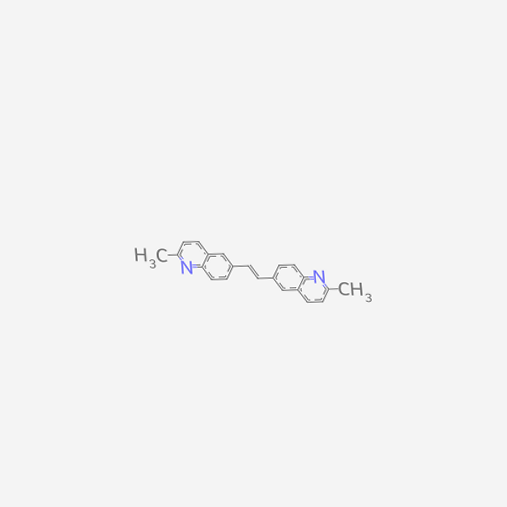 Cc1ccc2cc(/C=C/c3ccc4nc(C)ccc4c3)ccc2n1